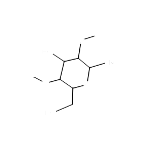 CC(C)(C)C1OC(CO)C(OI)C(O)C1OI